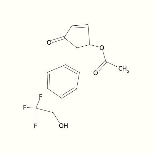 CC(=O)OC1C=CC(=O)C1.OCC(F)(F)F.c1ccccc1